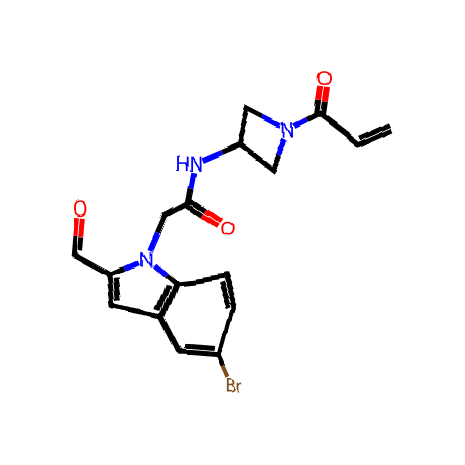 C=CC(=O)N1CC(NC(=O)Cn2c(C=O)cc3cc(Br)ccc32)C1